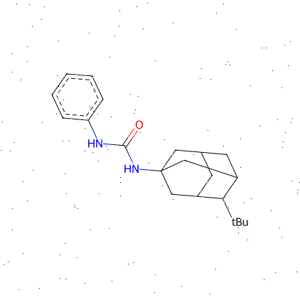 CC(C)(C)C1C2CC3CC1CC(NC(=O)Nc1ccccc1)(C3)C2